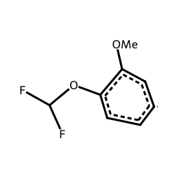 COc1c[c]ccc1OC(F)F